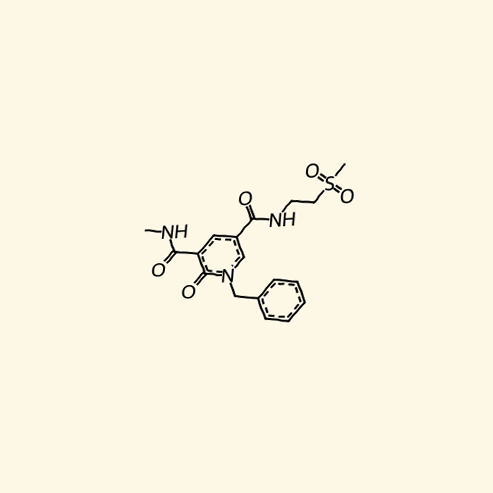 CNC(=O)c1cc(C(=O)NCCS(C)(=O)=O)cn(Cc2ccccc2)c1=O